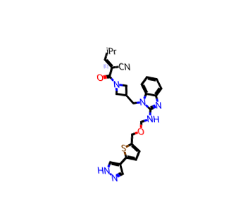 CC(C)/C=C(\C#N)C(=O)N1CC(Cn2c(NCOCc3ccc(-c4cn[nH]c4)s3)nc3ccccc32)C1